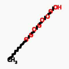 CCCCCCCCCCCCCOCCOCCOCCOCCOCCOCCOCCO